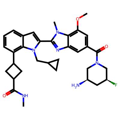 CNC(=O)C1CC(c2cccc3cc(-c4nc5cc(C(=O)N6C[C@H](N)C[C@H](F)C6)cc(OC)c5n4C)n(CC4CC4)c23)C1